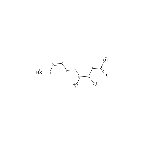 CC/C=C\CCC(O)C(C)CC(=O)O